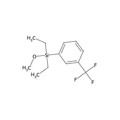 CC[Si](CC)(OC)c1cccc(C(F)(F)F)c1